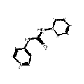 O=C(Nc1ccncc1)NN1CC=CCC1